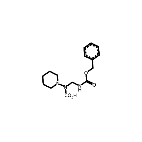 O=C(NCN(C(=O)O)N1CCCCC1)OCc1ccccc1